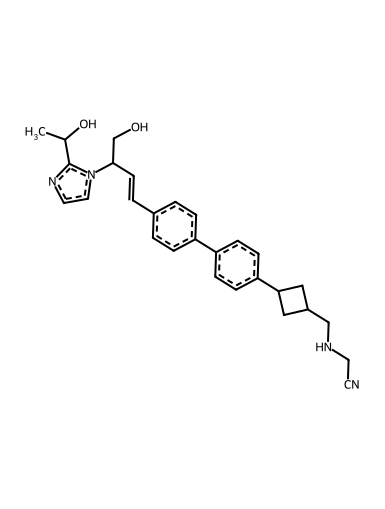 CC(O)c1nccn1C(/C=C/c1ccc(-c2ccc(C3CC(CNCC#N)C3)cc2)cc1)CO